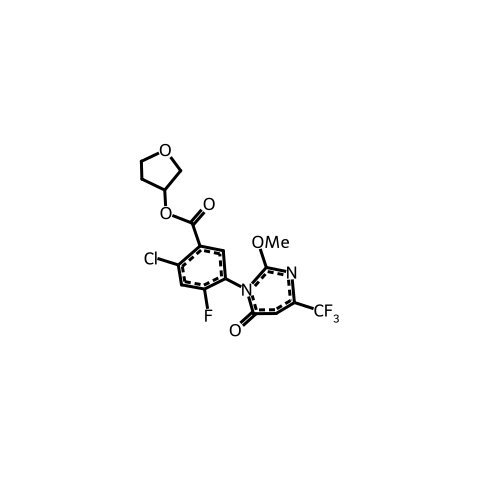 COc1nc(C(F)(F)F)cc(=O)n1-c1cc(C(=O)OC2CCOC2)c(Cl)cc1F